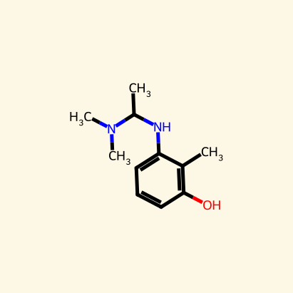 Cc1c(O)cccc1NC(C)N(C)C